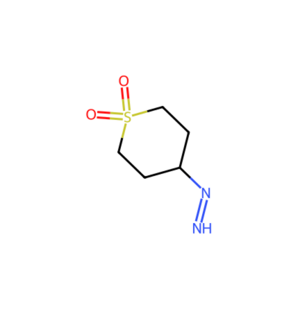 N=NC1CCS(=O)(=O)CC1